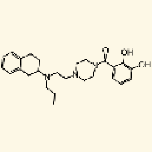 CCCN(CCN1CCN(C(=O)c2cccc(O)c2O)CC1)C1CCc2ccccc2C1